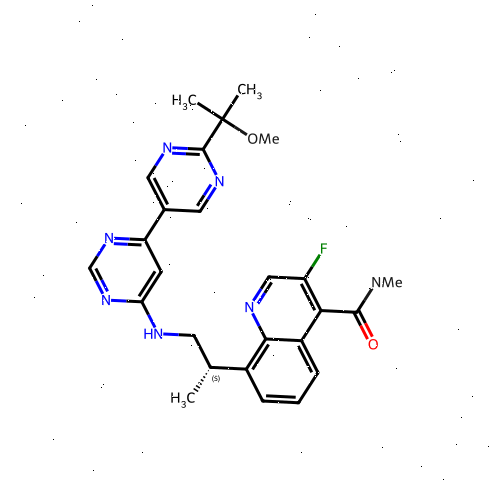 CNC(=O)c1c(F)cnc2c([C@H](C)CNc3cc(-c4cnc(C(C)(C)OC)nc4)ncn3)cccc12